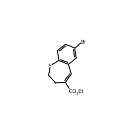 CCOC(=O)C1=Cc2cc(Br)ccc2SCC1